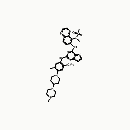 COc1cc(N2CCC(N3CCN(C)CC3)CC2)c(C)cc1Nc1nc(Nc2ccc3nccnc3c2N(C)S(C)(=O)=O)c2occc2n1